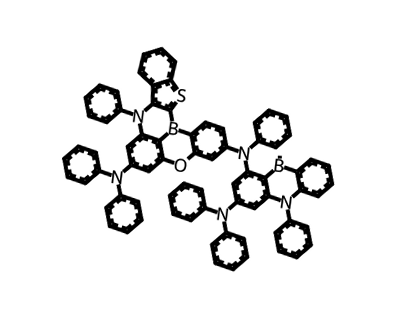 CB1c2ccccc2N(c2ccccc2)c2cc(N(c3ccccc3)c3ccccc3)cc(N(c3ccccc3)c3ccc4c(c3)Oc3cc(N(c5ccccc5)c5ccccc5)cc5c3B4c3sc4ccccc4c3N5c3ccccc3)c21